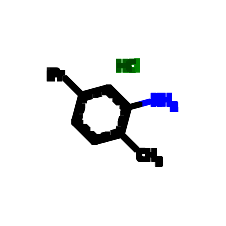 Cc1ccc(C(C)C)cc1N.Cl